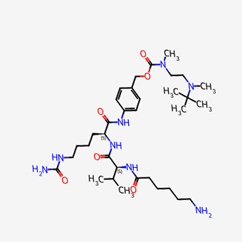 CC(C)[C@H](NC(=O)CCCCCN)C(=O)N[C@@H](CCCCNC(N)=O)C(=O)Nc1ccc(COC(=O)N(C)CCN(C)C(C)(C)C)cc1